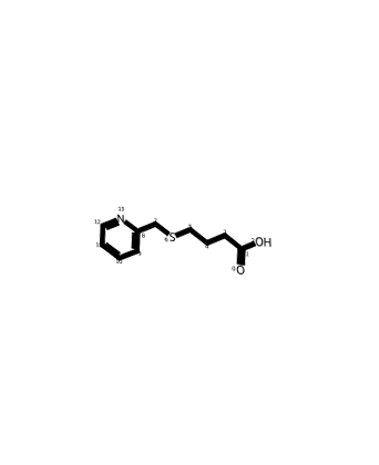 O=C(O)CCCSCc1ccccn1